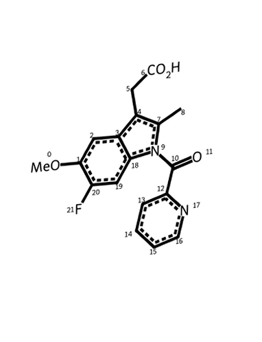 COc1cc2c(CC(=O)O)c(C)n(C(=O)c3ccccn3)c2cc1F